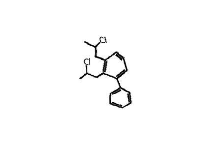 CC(Cl)Cc1cccc(-c2ccccc2)c1CC(C)Cl